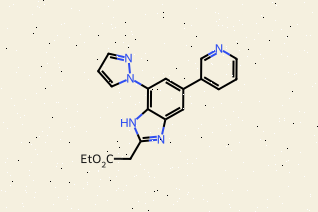 CCOC(=O)Cc1nc2cc(-c3cccnc3)cc(-n3cccn3)c2[nH]1